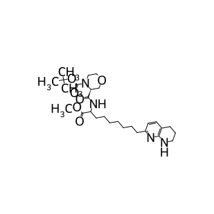 COC(=O)C(CCCCCCCc1ccc2c(n1)NCCC2)NC(=O)[C@@H]1COCCN1C(=O)OC(C)(C)C